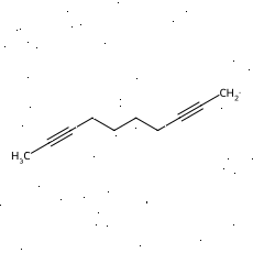 [CH2]C#CCCCCC#CC